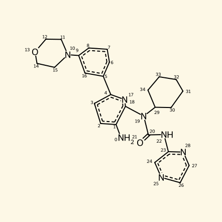 Nc1ccc(-c2cccc(N3CCOCC3)c2)nc1N(C(=O)Nc1cnccn1)C1CCCCC1